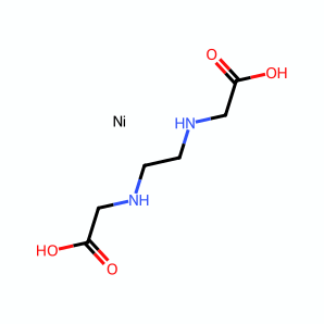 O=C(O)CNCCNCC(=O)O.[Ni]